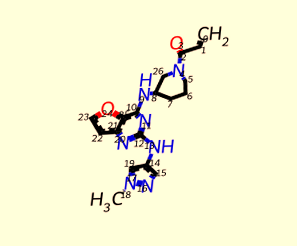 C=CC(=O)N1CCCC(Nc2nc(Nc3cnn(C)c3)nc3ccoc23)C1